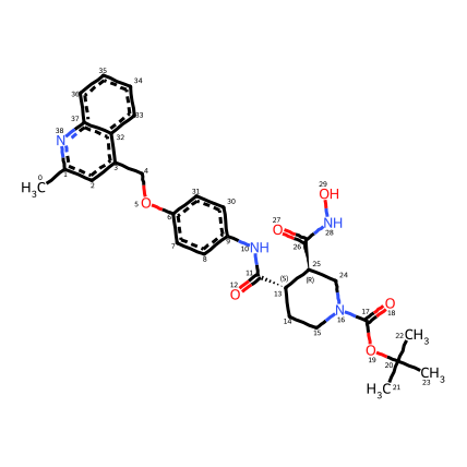 Cc1cc(COc2ccc(NC(=O)[C@H]3CCN(C(=O)OC(C)(C)C)C[C@@H]3C(=O)NO)cc2)c2ccccc2n1